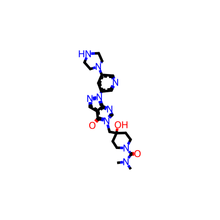 CN(C)C(=O)N1CCC(O)(Cn2cnc3c(cnn3-c3cncc(N4CCNCC4)c3)c2=O)CC1